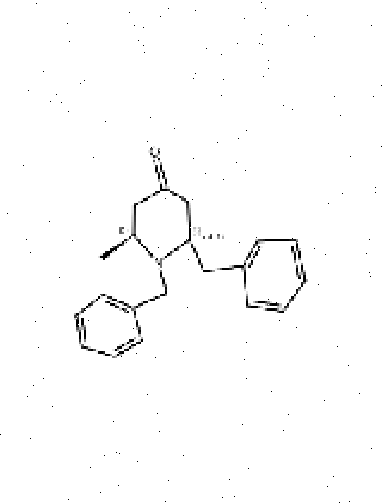 C[C@H]1CC(=O)C[C@@](C)(Cc2ccccc2)N1Cc1ccccc1